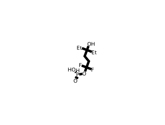 CCC(O)(CC)CCC(F)(F)O[PH](=O)O